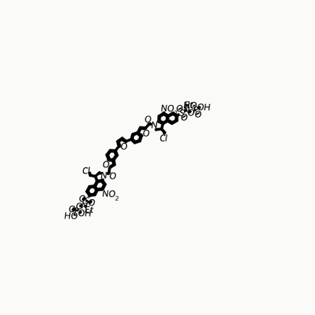 CCN(OP(=O)(O)O)S(=O)(=O)c1ccc2c3c(cc([N+](=O)[O-])c2c1)N(C(=O)c1cc2cc(-c4ccc(-c5ccc6oc(C(=O)N7CC(CCl)c8c7cc([N+](=O)[O-])c7cc(S(=O)(=O)N(CC)OP(=O)(O)O)ccc87)cc6c5)o4)ccc2o1)CC3CCl